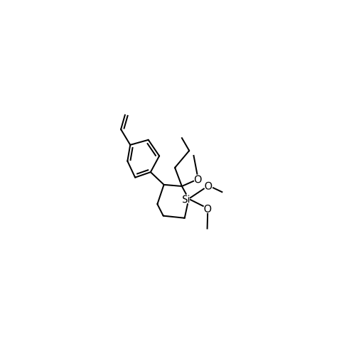 C=Cc1ccc(C2CCC[Si](OC)(OC)C2(CCC)OC)cc1